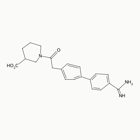 N=C(N)c1ccc(-c2ccc(CC(=O)N3CCCC(C(=O)O)C3)cc2)cc1